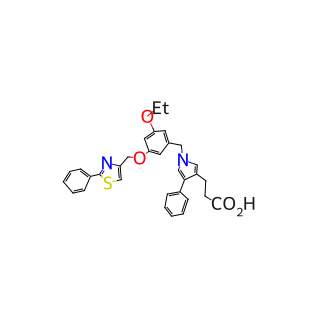 CCOc1cc(Cn2cc(CCC(=O)O)c(-c3ccccc3)c2)cc(OCc2csc(-c3ccccc3)n2)c1